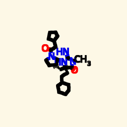 CN1C(=N)N[C@@](CCC2CCCCC2)(C[C@@H]2CCN(C(=O)CC3CCCC3)C2)C1=O